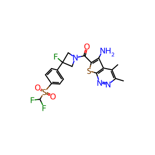 Cc1nnc2sc(C(=O)N3CC(F)(c4ccc(S(=O)(=O)C(F)F)cc4)C3)c(N)c2c1C